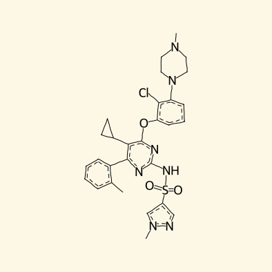 Cc1ccccc1-c1nc(NS(=O)(=O)c2cnn(C)c2)nc(Oc2cccc(N3CCN(C)CC3)c2Cl)c1C1CC1